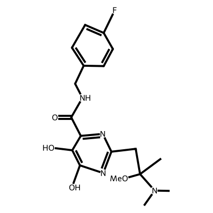 COC(C)(Cc1nc(O)c(O)c(C(=O)NCc2ccc(F)cc2)n1)N(C)C